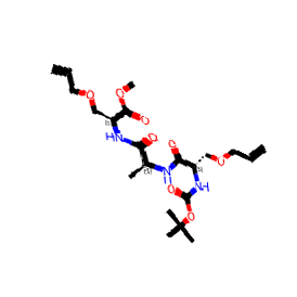 C=CCOC[C@H](NC(=O)OC(C)(C)C)C(=O)N[C@@H](C)C(=O)N[C@@H](COCC=C)C(=O)OC